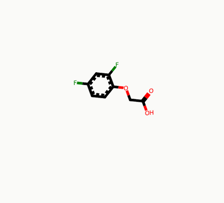 O=C(O)COc1ccc(F)cc1F